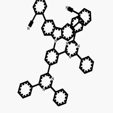 N#Cc1ccccc1-c1ccc2c(c1)c1cc(-c3ccccc3C#N)ccc1n2-c1ccc(-c2cc(-c3ccccc3)nc(-c3ccccc3)n2)cc1-c1nc(-c2ccccc2)nc(-c2ccccc2)n1